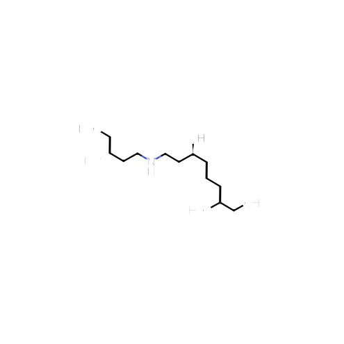 CCC(C)CCC[C@H](C)CCNCC[C@H](C)CC